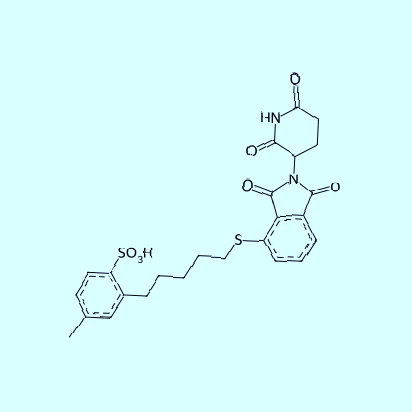 Cc1ccc(S(=O)(=O)O)c(CCCCCSc2cccc3c2C(=O)N(C2CCC(=O)NC2=O)C3=O)c1